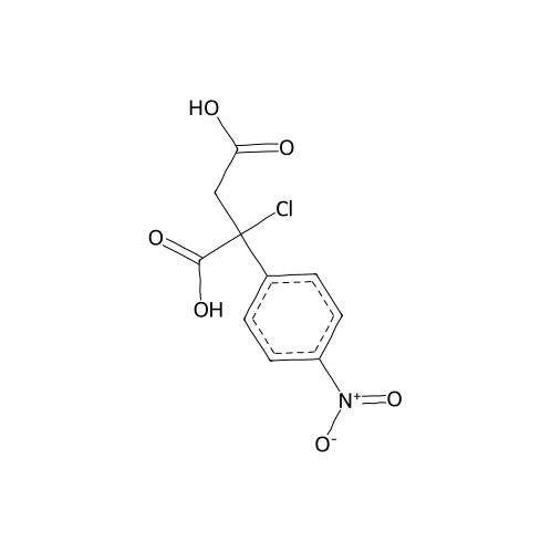 O=C(O)CC(Cl)(C(=O)O)c1ccc([N+](=O)[O-])cc1